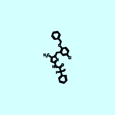 Cc1cc(NC(=O)C(F)(F)c2ccccn2)nn1Cc1cc(Cl)ccc1OCc1ccccc1